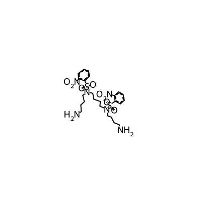 NCCCCN(CCCCN(CCCCN)S(=O)(=O)c1ccccc1[N+](=O)[O-])S(=O)(=O)c1ccccc1[N+](=O)[O-]